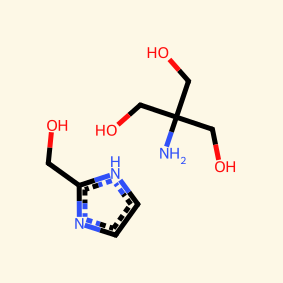 NC(CO)(CO)CO.OCc1ncc[nH]1